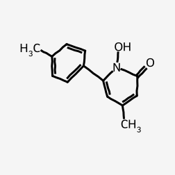 Cc1ccc(-c2cc(C)cc(=O)n2O)cc1